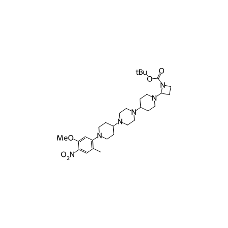 COc1cc(N2CCC(N3CCN(C4CCN(C5CCN5C(=O)OC(C)(C)C)CC4)CC3)CC2)c(C)cc1[N+](=O)[O-]